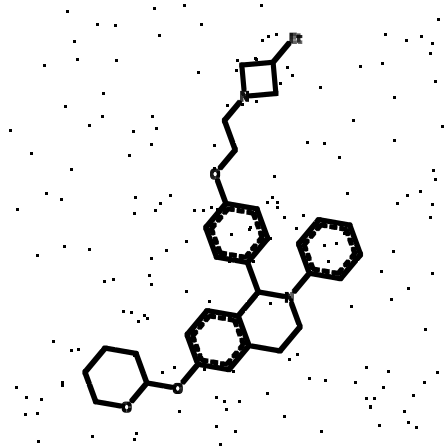 CCC1CN(CCOc2ccc(C3c4ccc(OC5CCCCO5)cc4CCN3c3ccccc3)cc2)C1